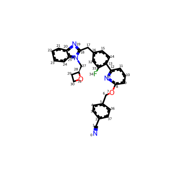 N#Cc1ccc(COc2cccc(-c3ccc(Cc4nc5ccccc5n4C[C@@H]4CCO4)cc3F)n2)cc1